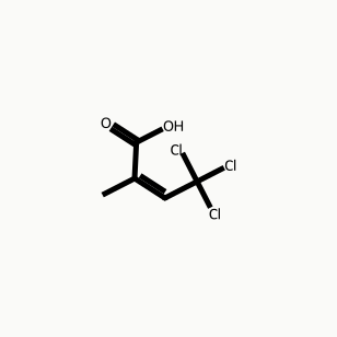 CC(=CC(Cl)(Cl)Cl)C(=O)O